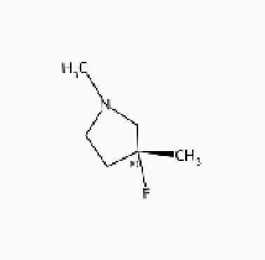 CN1CC[C@@](C)(F)C1